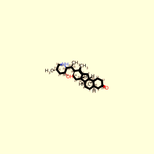 CC1=C2C[C@H]3[C@@H](CC[C@@H]4CC(=O)CC[C@@]43C)[C@@H]2CC[C@H]1[C@H](C)[C@@H]1NC[C@@H](C)C[C@H]1O